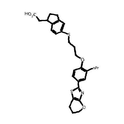 CCCc1cc(-c2nc3c(s2)CCCO3)ccc1OCCCSc1ccc2c(c1)CCC2CC(=O)O